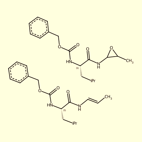 CC(C)C[C@H](NC(=O)OCc1ccccc1)C(=O)NC1OC1C.CC=CNC(=O)[C@H](CC(C)C)NC(=O)OCc1ccccc1